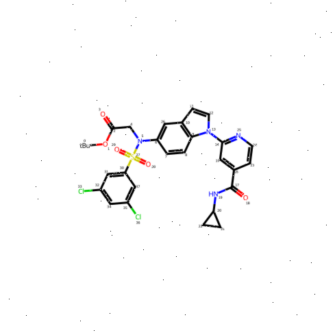 CC(C)(C)OC(=O)CN(c1ccc2c(ccn2-c2cc(C(=O)NC3CC3)ccn2)c1)S(=O)(=O)c1cc(Cl)cc(Cl)c1